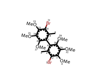 COc1c(Br)c(C)c(-c2c(C)c(Br)c(OC)c(OC)c2OC)c(OC)c1OC